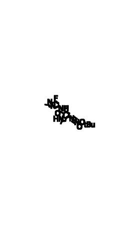 Cc1cn2cc(NC(=O)c3c(F)cc(N4CCN(C(=O)OC(C)(C)C)CC4)c4cc(C)[nH]c34)cc(F)c2n1